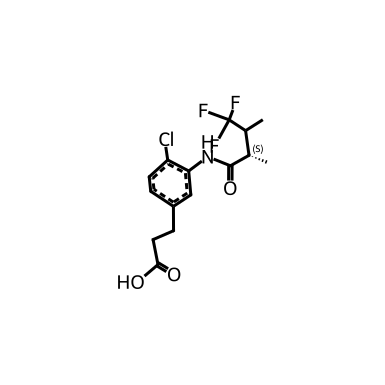 CC([C@H](C)C(=O)Nc1cc(CCC(=O)O)ccc1Cl)C(F)(F)F